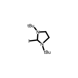 CC(C)(C)N1CCN(C(C)(C)C)C1I